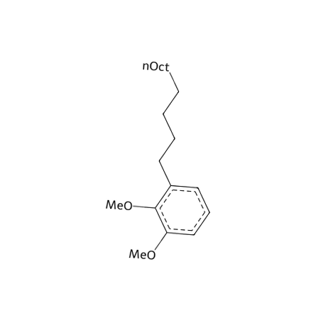 CCCCCCCCCCCCc1cccc(OC)c1OC